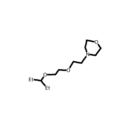 CCC(CC)OCCOCCN1CCOCC1